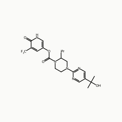 CC(C)C1CN(c2ncc(C(C)(C)O)cn2)CCN1C(=O)Oc1c[nH]c(=O)c(C(F)(F)F)c1